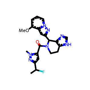 COc1cccn2nc(C3c4nc[nH]c4CCN3C(=O)c3cc(C(C)F)nn3C)cc12